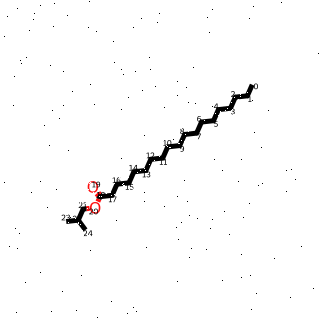 CCCCCCCCCCCCCCCCCCC(=O)OCC(C)C